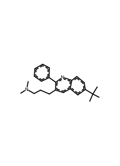 CN(C)CCCc1cc2cc(C(C)(C)C)ccc2nc1-c1ccccc1